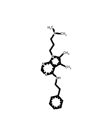 Cc1c(C)n(CCCN(C)C)c2ncnc(NCCc3ccccc3)c12